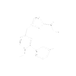 CCOc1ncc(Cn2cnc(C(=O)OC)n2)nc1-c1cccc(Cl)c1